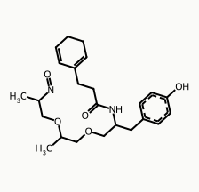 CC(COC(C)COCC(Cc1ccc(O)cc1)NC(=O)CCC1=CCCC=C1)N=O